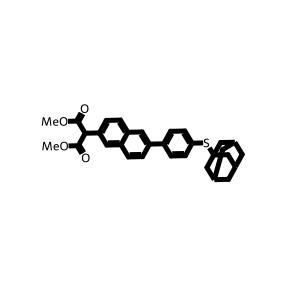 COC(=O)C(C(=O)OC)c1ccc2cc(-c3ccc(SC45CC6CC(CC(C6)C4)C5)cc3)ccc2c1